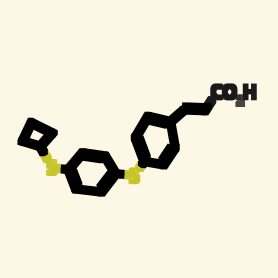 O=C(O)/C=C/c1ccc(Sc2ccc(SC3CCC3)cc2)cc1